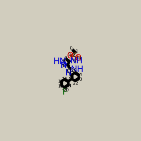 C=CS(=O)(=O)Nc1c[nH]nc1-c1nc2c(-c3cccc(F)c3)cccc2[nH]1